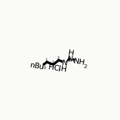 CCCCCCCNNN.Cl